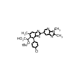 Cc1cc2nc(-c3cnc4c(c3)nc(C)n4C)sc2c(-c2ccc(Cl)cc2)c1C(OC(C)(C)C)C(=O)O